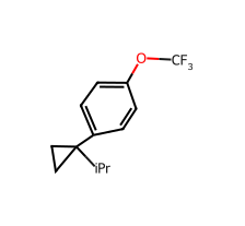 CC(C)C1(c2ccc(OC(F)(F)F)cc2)CC1